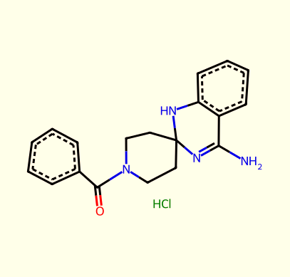 Cl.NC1=NC2(CCN(C(=O)c3ccccc3)CC2)Nc2ccccc21